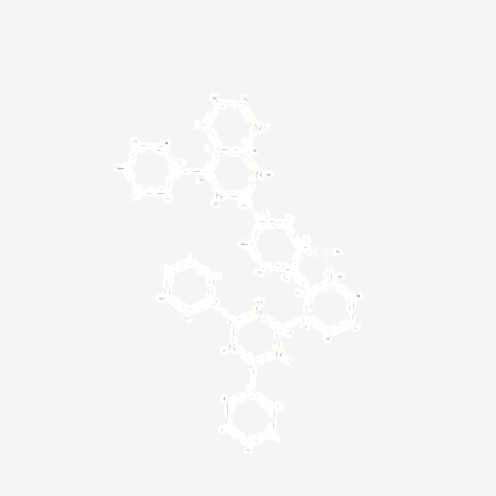 c1ccc(-c2nc(-c3ccccc3)nc(-c3cccc4sc5cc(-c6nc(-c7ccccc7)c7cccnc7n6)ccc5c34)n2)cc1